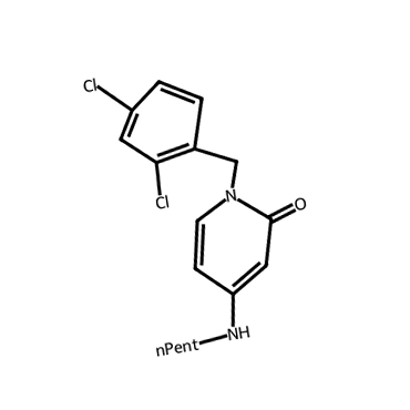 CCCCCNc1ccn(Cc2ccc(Cl)cc2Cl)c(=O)c1